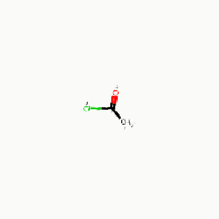 [CH2]C(=O)Cl